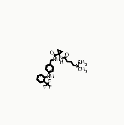 CN(C)CCCC(=O)NC1(C(=O)NCc2ccc(Nc3ccccc3C(F)(F)F)cc2)CC1